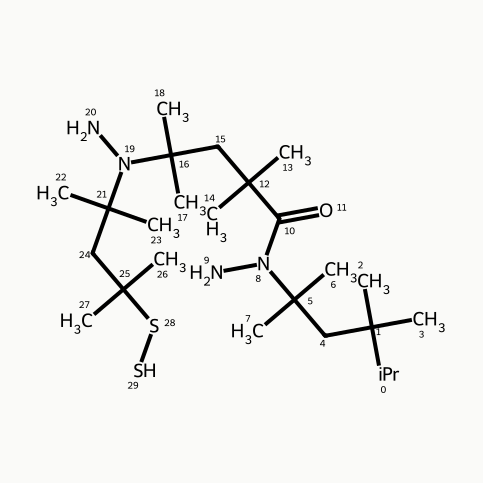 CC(C)C(C)(C)CC(C)(C)N(N)C(=O)C(C)(C)CC(C)(C)N(N)C(C)(C)CC(C)(C)SS